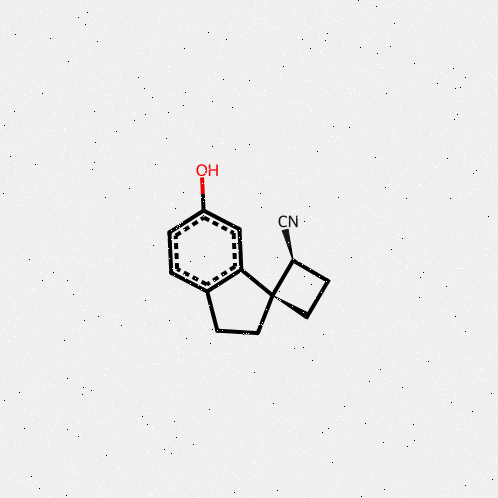 N#C[C@H]1CC[C@]12CCc1ccc(O)cc12